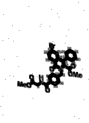 COC(=O)CNC(=O)c1ccc(Cn2c(C(=O)OC)c(-c3ccccc3)c3cc(Br)ccc3c2=O)cc1